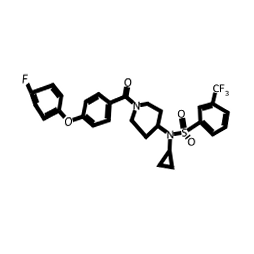 O=C(c1ccc(Oc2ccc(F)cc2)cc1)N1CCC(N(C2CC2)S(=O)(=O)c2cccc(C(F)(F)F)c2)CC1